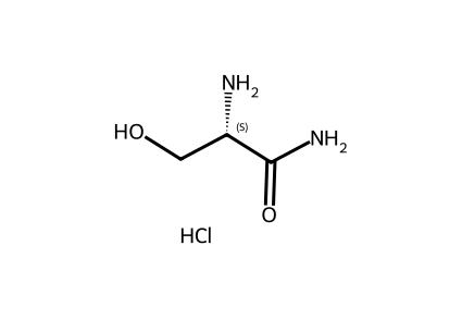 Cl.NC(=O)[C@@H](N)CO